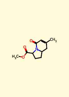 COC(=O)C1CCC2CC(C)=CC(=O)N21